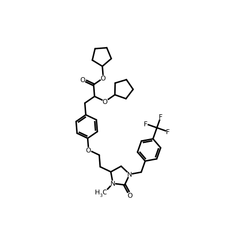 CN1C(=O)N(Cc2ccc(C(F)(F)F)cc2)CC1CCOc1ccc(CC(OC2CCCC2)C(=O)OC2CCCC2)cc1